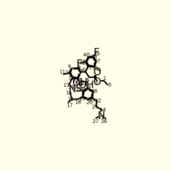 CCOC(=O)CC(c1ccc(C)c(CN2CC(C)Cc3cc(CCCN(C)C)ccc3S2(O)O)c1)c1ccc(F)cc1F